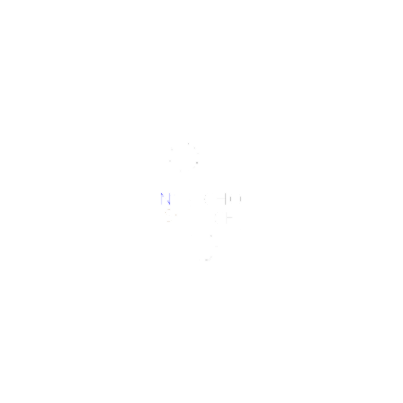 O=Cc1c(-c2ccccc2)nsc1-c1ccccc1C(F)(F)F